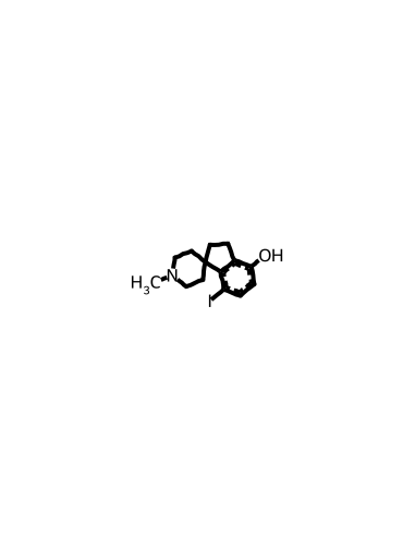 CN1CCC2(CCc3c(O)ccc(I)c32)CC1